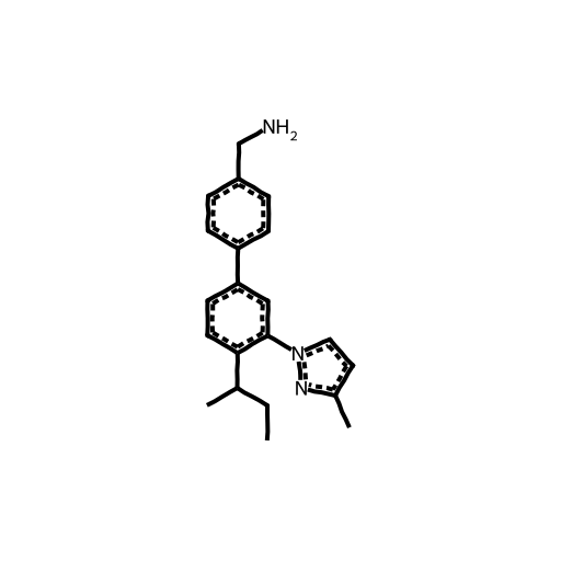 CCC(C)c1ccc(-c2ccc(CN)cc2)cc1-n1ccc(C)n1